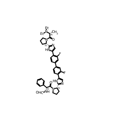 CCN(CC)[C@H](C)C(=O)N1CCC[C@H]1c1ncc(-c2ccc(-c3ccc(-c4cnc([C@@H]5CCCN5C(=O)[C@H](NC=O)c5ccccc5)[nH]4)c(F)c3)cc2F)[nH]1